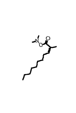 CCCCCCCCC=C(C)C(=O)ON(C)C